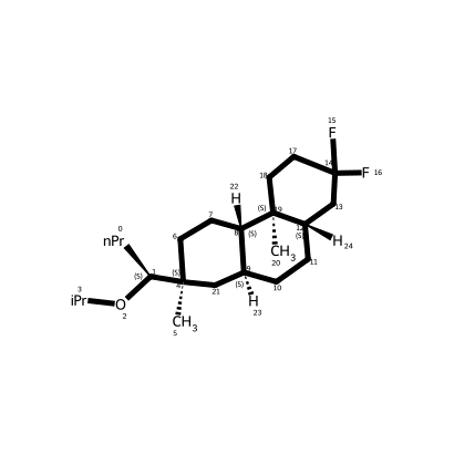 CCC[C@H](OC(C)C)[C@@]1(C)CC[C@H]2[C@@H](CC[C@H]3CC(F)(F)CC[C@@]32C)C1